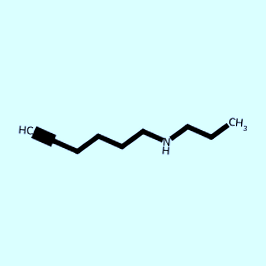 C#CCCC[CH]NCCC